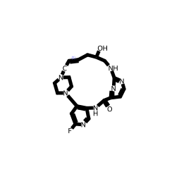 O=C1Nc2cnc(F)cc2N2CCN(C/C=C/CC(O)CNc3nccc1n3)CC2